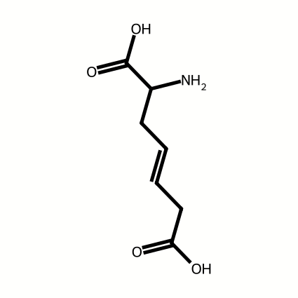 NC(C/C=C/CC(=O)O)C(=O)O